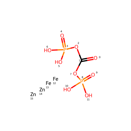 O=C(OP(=O)(O)O)OP(=O)(O)O.[Fe].[Fe].[Zn].[Zn]